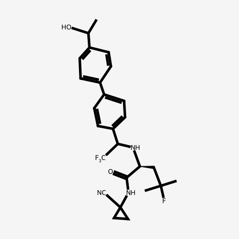 CC(O)c1ccc(-c2ccc(C(N[C@@H](CC(C)(C)F)C(=O)NC3(C#N)CC3)C(F)(F)F)cc2)cc1